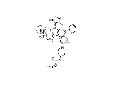 CC(C)(C)OC(=O)NC1CCN(C(=O)N[C@@H](Cc2ccccc2)C(=O)N[C@@H](Cc2c[nH]cn2)C(=O)N[C@@H](CC2CCCCC2)[C@H](O)C(C)(C)O)CC1